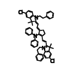 CC1(C)C(/C=C/C2=C(N(c3ccccc3)c3ccccc3)C(=C/C=C3/N(CCc4ccccc4)c4ccc(Cl)cc4C3(C)C)/CC2)=[N+](CCc2ccccc2)c2ccc(Cl)cc21